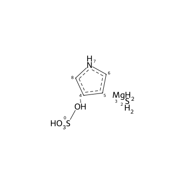 O=S(=O)(O)O.S.[MgH2].c1cc[nH]c1